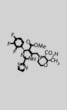 COC(=O)C1=C(CN2CCO[C@H](C)[C@H]2C(=O)O)NC(c2nccs2)=N[C@H]1c1ccc(F)c(F)c1F